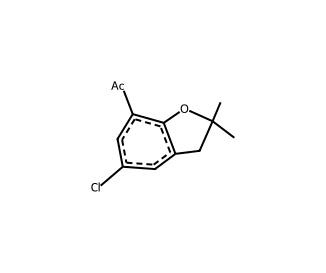 CC(=O)c1cc(Cl)cc2c1OC(C)(C)C2